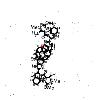 CCc1cc2c(-c3ccc4[nH]c([C@@H]5C[C@@H]6CCCC[C@@H]6N5C(=O)[C@@H](NC(=O)OC)[C@@H](C)OC)nc4c3)cc1CCc1cc(CC)c(cc1-c1ccc3[nH]c([C@@H]4C[C@@H]5CCCC[C@@H]5N4C(=O)[C@@H](NC(=O)OC)[C@@H](C)OC)nc3c1)CC2